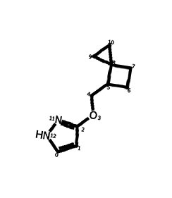 c1cc(OCC2CCC23CC3)n[nH]1